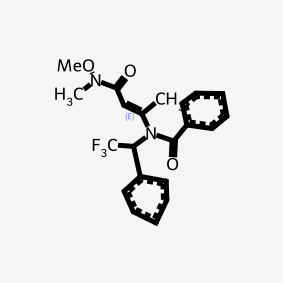 CON(C)C(=O)/C=C(\C)N(C(=O)c1ccccc1)C(c1ccccc1)C(F)(F)F